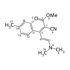 COC(=O)C(C#N)=C(C=CN(C)C)c1ccc(C)cc1